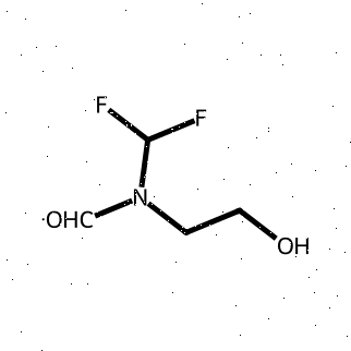 O=[C]N(CCO)C(F)F